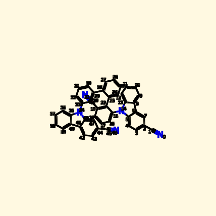 N#Cc1ccc2c(c1)c1ccccc1n2-c1cccc(C#N)c1-c1ccccc1-c1cccc(-n2c3ccccc3c3ccc(C#N)cc32)c1